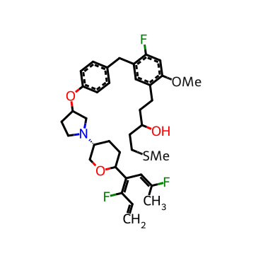 C=C/C(F)=C(\C=C(/C)F)C1CC[C@@H](N2CCC(Oc3ccc(Cc4cc(CCC(O)CCSC)c(OC)cc4F)cc3)C2)CO1